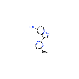 COc1ccnc(-c2cnn3ccc(N)cc23)n1